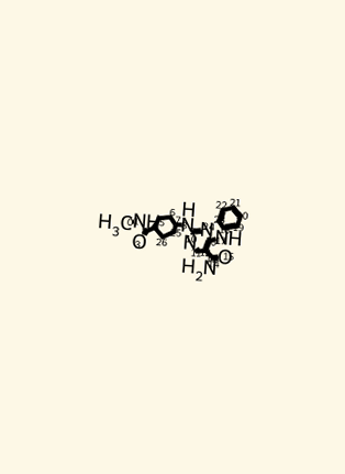 CNC(=O)C1CCC(Nc2ncc(C(N)=O)c(Nc3ccccc3)n2)CC1